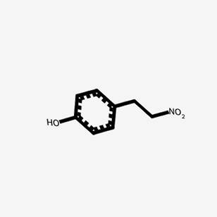 O=[N+]([O-])CCc1ccc(O)cc1